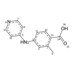 Cc1cc(Nc2ccncc2)ccc1C(=O)O